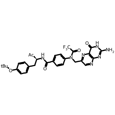 CC(=O)[C@H](Cc1ccc(OC(C)(C)C)cc1)NC(=O)c1ccc(N(Cc2cnc3nc(N)[nH]c(=O)c3n2)C(=O)C(F)(F)F)cc1